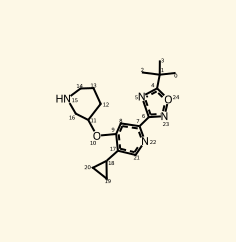 CC(C)(C)c1nc(-c2cc(OC3CCCNC3)c(C3CC3)cn2)no1